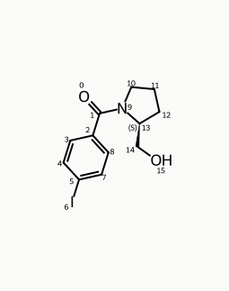 O=C(c1ccc(I)cc1)N1CCC[C@H]1CO